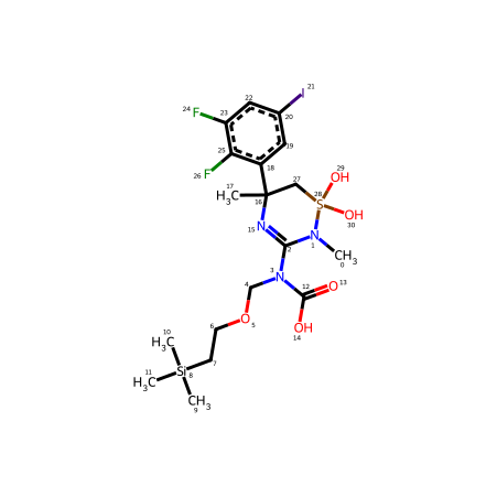 CN1C(N(COCC[Si](C)(C)C)C(=O)O)=NC(C)(c2cc(I)cc(F)c2F)CS1(O)O